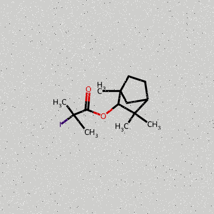 CC(C)(I)C(=O)OC1C2(C)CCC(C2)C1(C)C